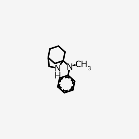 CN(c1ccccc1)C12CCCC(CN1)C2